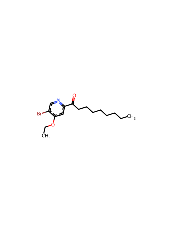 CCCCCCCCC(=O)c1cc(OCC)c(Br)cn1